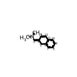 CN(C)C=C1[CH]c2ccccc2C=C1